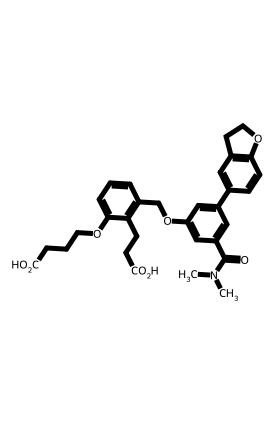 CN(C)C(=O)c1cc(OCc2cccc(OCCCC(=O)O)c2CCC(=O)O)cc(-c2ccc3c(c2)CCO3)c1